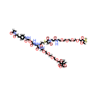 CC(=O)C1(C(=O)CCOCCOCCOCCOCCNC(=O)CCN2C(=O)CC(SCCC(=O)N[C@H](CNC(=O)COCC(=O)Nc3ccc(CCC(=O)N4CCC4=O)cc3)C(=O)NCCOCCOCCOCCOCCC(=O)C(C(C)=O)(C(C)=O)C(C)=O)C2=O)SS1